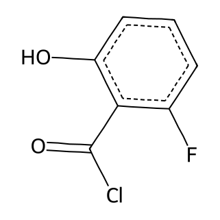 O=C(Cl)c1c(O)cccc1F